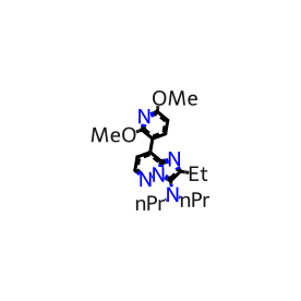 CCCN(CCC)c1c(CC)nc2c(-c3ccc(OC)nc3OC)ccnn12